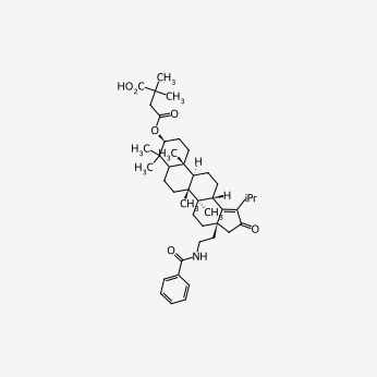 CC(C)C1=C2[C@H]3CC[C@@H]4[C@@]5(C)CC[C@H](OC(=O)CC(C)(C)C(=O)O)C(C)(C)C5CC[C@@]4(C)[C@]3(C)CC[C@@]2(CCNC(=O)c2ccccc2)CC1=O